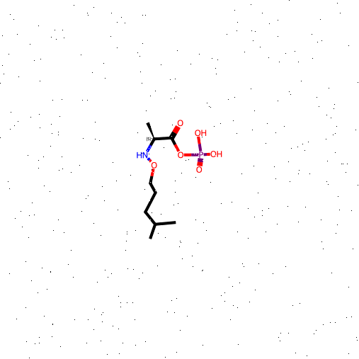 CC(C)CCCON[C@@H](C)C(=O)OP(=O)(O)O